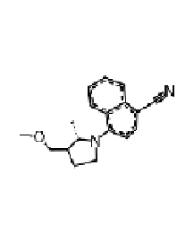 COCC1CCN(c2ccc(C#N)c3ccccc23)[C@H]1C